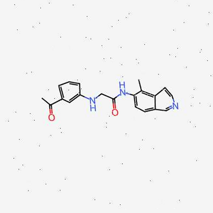 CC(=O)c1cccc(NCC(=O)Nc2ccc3cnccc3c2C)c1